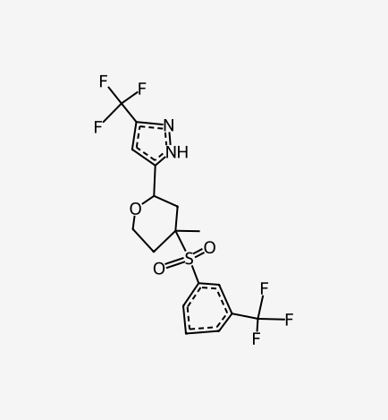 CC1(S(=O)(=O)c2cccc(C(F)(F)F)c2)CCOC(c2cc(C(F)(F)F)n[nH]2)C1